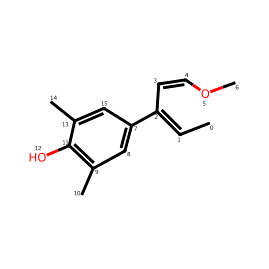 C/C=C(\C=C/OC)c1cc(C)c(O)c(C)c1